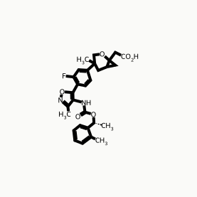 Cc1ccccc1[C@@H](C)OC(=O)Nc1c(C)noc1-c1ccc(C2(C)COC3(CC(=O)O)CC3C2)cc1F